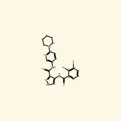 O=C(Nc1c[nH]nc1C(=O)Nc1ccc(N2CCCCC2)nc1)c1cccc(F)c1F